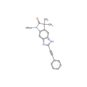 CCCCCN1C(=O)C(C)(C)c2cc3[nH]c(C#Cc4ccccc4)nc3cc21